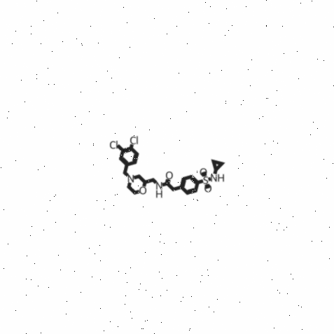 O=C(Cc1ccc(S(=O)(=O)NC2CC2)cc1)NCC1CN(Cc2ccc(Cl)c(Cl)c2)CCO1